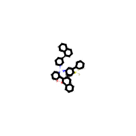 c1cc(-c2cccc3ccccc23)cc(N(c2ccc3sc4ccccc4c3c2)c2cccc3oc4c5ccccc5ccc4c23)c1